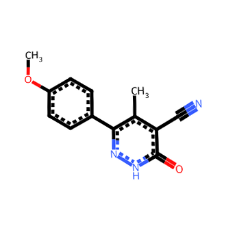 COc1ccc(-c2n[nH]c(=O)c(C#N)c2C)cc1